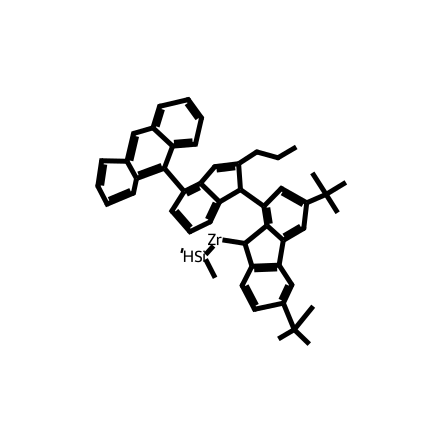 CCCC1=Cc2c(-c3c4ccccc4cc4ccccc34)cccc2C1c1cc(C(C)(C)C)cc2c1[CH]([Zr][SiH](C)C)c1ccc(C(C)(C)C)cc1-2